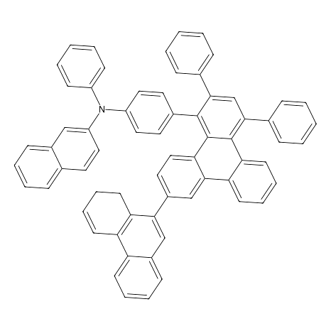 C1=Cc2c(c(-c3ccc4c(c3)c3ccccc3c3c(-c5ccccc5)cc(-c5ccccc5)c(-c5ccc(N(c6ccccc6)c6ccc7ccccc7c6)cc5)c43)cc3ccccc23)CC1